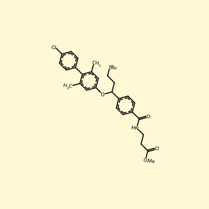 COC(=O)CCNC(=O)c1ccc(C(CCC(C)(C)C)Oc2cc(C)c(-c3ccc(Cl)cc3)c(C)c2)cc1